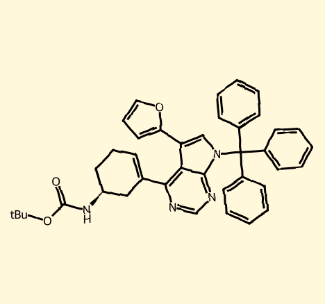 CC(C)(C)OC(=O)N[C@H]1CCC=C(c2ncnc3c2c(-c2ccco2)cn3C(c2ccccc2)(c2ccccc2)c2ccccc2)C1